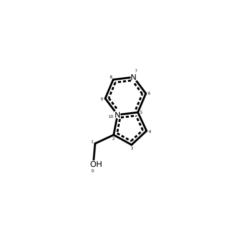 OCc1ccc2cnccn12